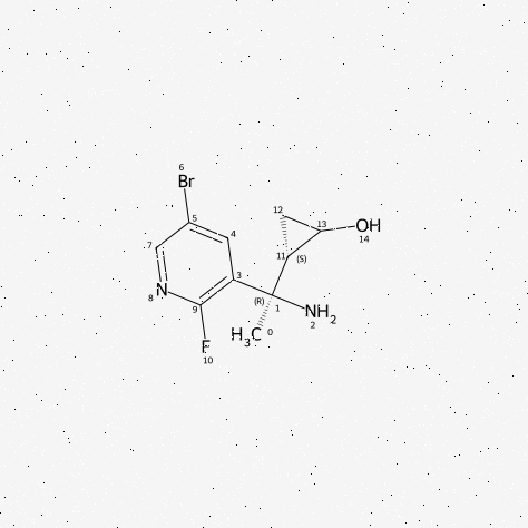 C[C@](N)(c1cc(Br)cnc1F)[C@@H]1CC1O